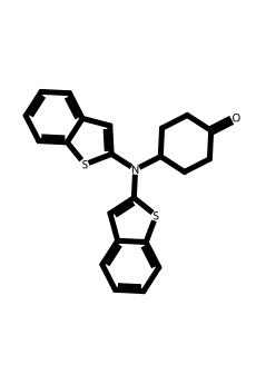 O=C1CCC(N(c2cc3ccccc3s2)c2cc3ccccc3s2)CC1